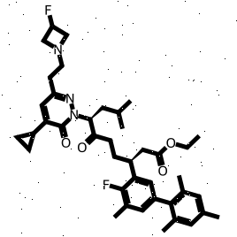 CCOC(=O)C[C@H](CCC(=O)[C@H](CC(C)C)n1nc(CCN2CC(F)C2)cc(C2CC2)c1=O)c1cc(-c2c(C)cc(C)cc2C)cc(C)c1F